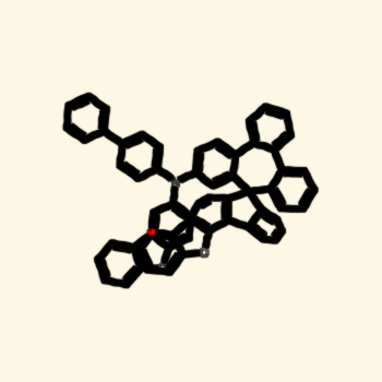 c1ccc(-c2ccc(N(c3ccc4c(c3)C3(c5ccccc5-c5ccccc5-4)c4ccccc4-c4c3ccc3c4oc4ccccc43)c3ccc4oc5ccccc5c4c3)cc2)cc1